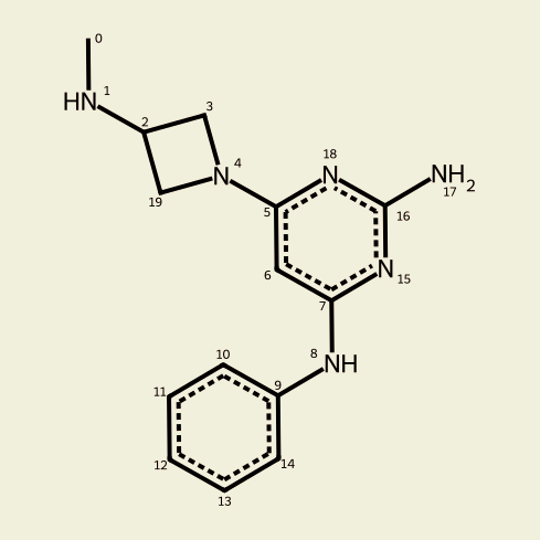 CNC1CN(c2cc(Nc3ccccc3)nc(N)n2)C1